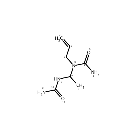 C=CCN(C(N)=O)C(C)NC(N)=O